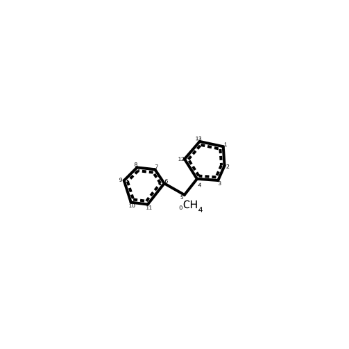 C.c1ccc(Cc2ccccc2)cc1